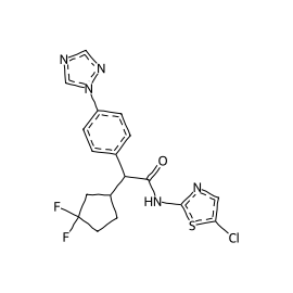 O=C(Nc1ncc(Cl)s1)C(c1ccc(-n2cncn2)cc1)C1CCC(F)(F)C1